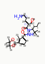 CCCC(N(NC(=O)c1cccc(B2OC(C)(C)C(C)(C)O2)c1C)C(=O)/C(C=O)=C/C=C\N)C(C)(C)C